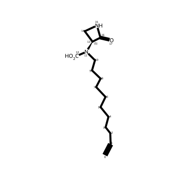 C#CCCCCCCCCCN(C(=O)O)[C@H]1CNC1=O